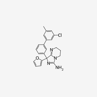 Cc1cc(Cl)cc(-c2cccc(C3(c4ccco4)N=C(N)N4CCCN=C43)c2)c1